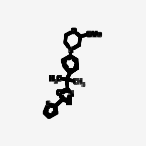 COC1CN(c2ccc(C(C)(C)c3nnc(-c4cccs4)o3)cc2)CCO1